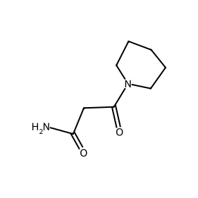 NC(=O)CC(=O)N1CCCCC1